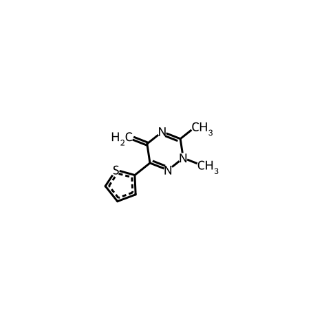 C=C1N=C(C)N(C)N=C1c1cccs1